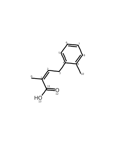 CC(=CCc1ccccc1C)C(=O)O